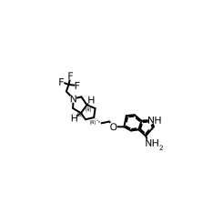 Nc1c[nH]c2ccc(OCC[C@@H]3C[C@@H]4CN(CC(F)(F)F)C[C@@H]4C3)cc12